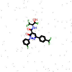 O=C(N[C@H](C(O)F)C(F)F)c1cc(-c2ccc(C(F)F)cc2)nn(-c2cccc(F)c2)c1=O